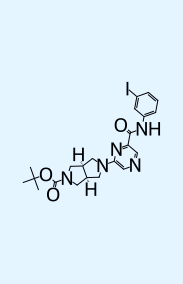 CC(C)(C)OC(=O)N1C[C@@H]2CN(c3cncc(C(=O)Nc4cccc(I)c4)n3)C[C@@H]2C1